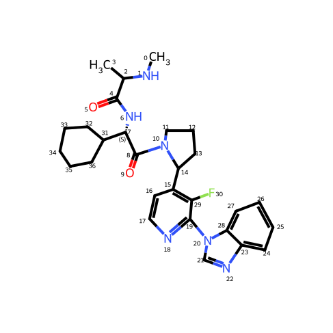 CNC(C)C(=O)N[C@H](C(=O)N1CCCC1c1ccnc(-n2cnc3ccccc32)c1F)C1CCCCC1